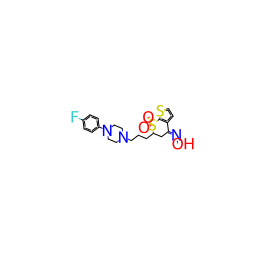 O=S1(=O)c2sccc2/C(=N/O)CC1CCCN1CCN(c2ccc(F)cc2)CC1